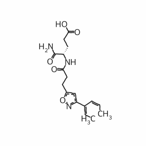 C/C=C\C(=C/C)c1cc(CCC(=O)N[C@@H](CCC(=O)O)C(N)=O)on1